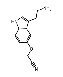 N#CCOc1ccc2[nH]cc(CCN)c2c1